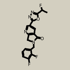 CC(F)c1nnc(-c2cnc3c(c2)C(=O)N(Cc2cccc(F)c2F)C3)o1